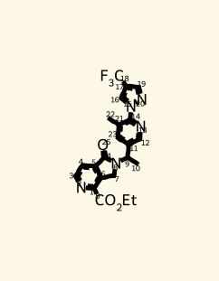 CCOC(=O)c1nccc2c1CN(C(C)c1cnc(-n3cc(C(F)(F)F)cn3)c(C)c1)C2=O